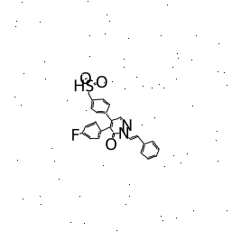 O=c1c(-c2ccc(F)cc2)c(-c2ccc(C[SH](=O)=O)cc2)cnn1C=Cc1ccccc1